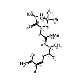 C=C(Br)/C(F)=C\CC(Cl)N(C)/N=C(/CN(O[Si](C)(C)C(C)(C)C)C(=O)OC(C)(C)C)NC